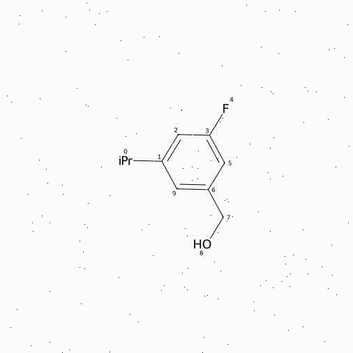 CC(C)c1cc(F)cc(CO)c1